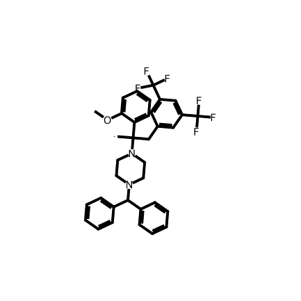 [CH2]C(Cc1cc(C(F)(F)F)cc(C(F)(F)F)c1)(c1ccccc1OC)N1CCN(C(c2ccccc2)c2ccccc2)CC1